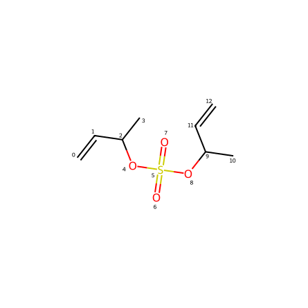 C=CC(C)OS(=O)(=O)OC(C)C=C